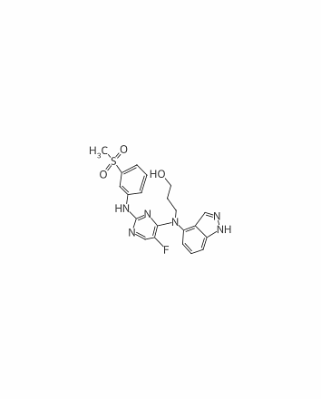 CS(=O)(=O)c1cccc(Nc2ncc(F)c(N(CCCO)c3cccc4[nH]ncc34)n2)c1